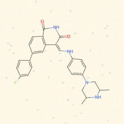 CC1CN(c2ccc(NC=C3C(=O)NC(=O)c4ccc(-c5ccc(F)cc5)cc43)cc2)CC(C)N1